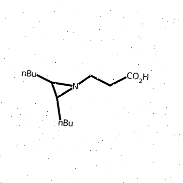 CCCCC1C(CCCC)N1CCC(=O)O